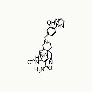 N#CCC1(n2cc(C(N)=O)c(NC=O)n2)CCN(Cc2ccc(-n3nccn3)c(O)c2)CC1F